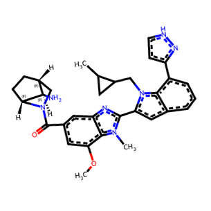 COc1cc(C(=O)N2C[C@H]3CC[C@@H]2[C@@H]3N)cc2nc(-c3cc4cccc(-c5cc[nH]n5)c4n3CC3CC3C)n(C)c12